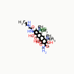 C=CCNCC(=O)Nc1cc(N(C)C)c2c(c1O)C(=O)C1=C(O)[C@]3(O)C(=O)C(C(N)=O)=C(O)[C@@H](N(C)C)C3CC1C2.Cl.Cl